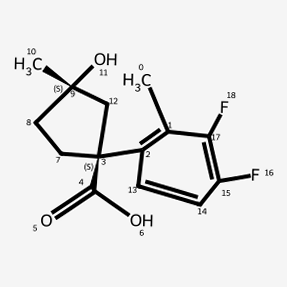 Cc1c([C@]2(C(=O)O)CC[C@](C)(O)C2)ccc(F)c1F